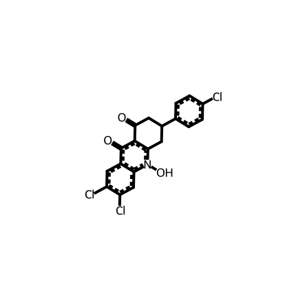 O=C1CC(c2ccc(Cl)cc2)Cc2c1c(=O)c1cc(Cl)c(Cl)cc1n2O